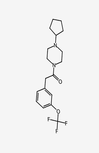 O=C(Cc1cccc(OC(F)(F)F)c1)N1CCN(C2CCCC2)CC1